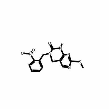 CSc1ncc2c(n1)N(C)C(=O)N(Cc1ccccc1[N+](=O)[O-])C2